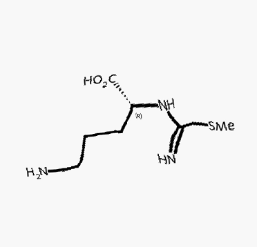 CSC(=N)N[C@H](CCCN)C(=O)O